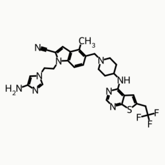 Cc1c(CN2CCC(Nc3ncnc4sc(CC(F)(F)F)cc34)CC2)ccc2c1cc(C#N)n2CCn1cnc(N)c1